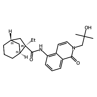 CC[C@@]1(C(=O)Nc2cccc3c(=O)n(CC(C)(C)O)ccc23)C[C@H]2CCC[C@H]1C2